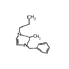 CCCN1C=CN(Cc2ccccc2)C1C